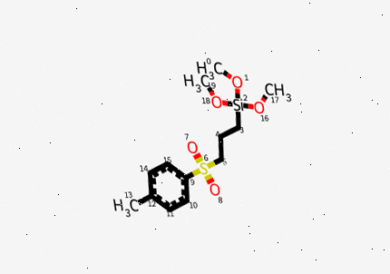 CO[Si](CCCS(=O)(=O)c1ccc(C)cc1)(OC)OC